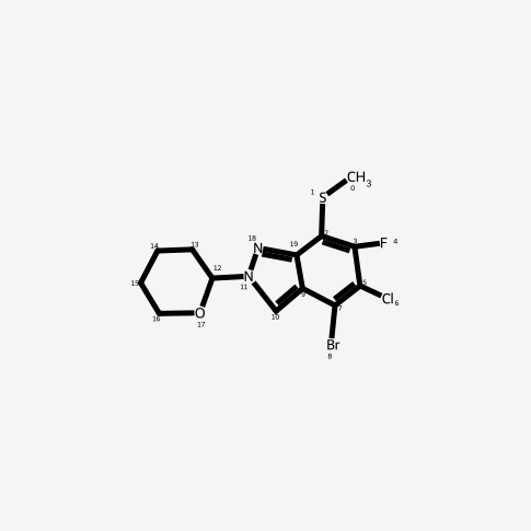 CSc1c(F)c(Cl)c(Br)c2cn(C3CCCCO3)nc12